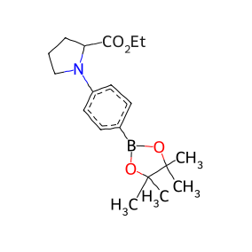 CCOC(=O)C1CCCN1c1ccc(B2OC(C)(C)C(C)(C)O2)cc1